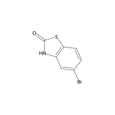 O=c1[nH]c2cc(Br)ccc2s1